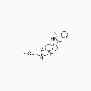 CCOC[C@H]1CC[C@]2(C)C3CC[C@@]4(C)C(CCC4[C@H](C)N[C@@H](C)c4ccccc4)[C@@H]3CC[C@@H]2C1